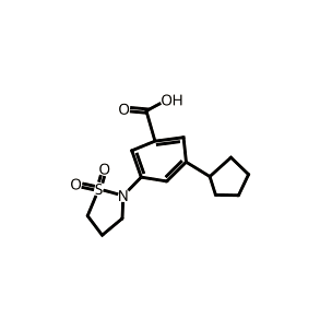 O=C(O)c1cc(C2CCCC2)cc(N2CCCS2(=O)=O)c1